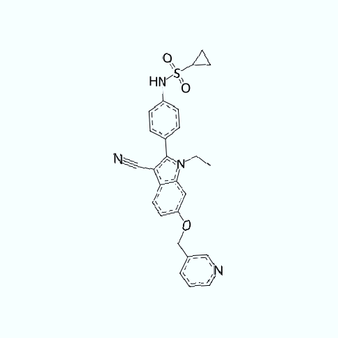 CCn1c(-c2ccc(NS(=O)(=O)C3CC3)cc2)c(C#N)c2ccc(OCc3cccnc3)cc21